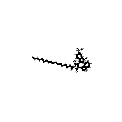 CCCCCCCCC=CCCCCCCCC(=O)N1C(=O)C(c2c[nH]c3ccccc23)=C(c2cn(C)c3cc([N+](=O)[O-])ccc23)C1=O